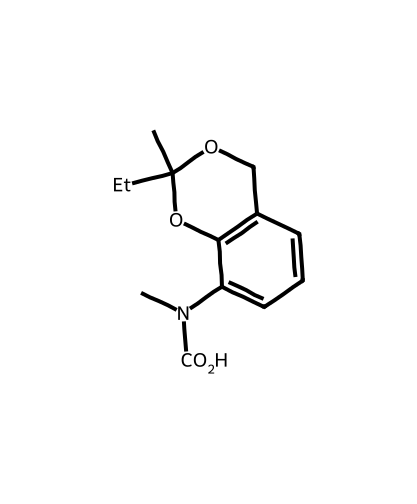 CCC1(C)OCc2cccc(N(C)C(=O)O)c2O1